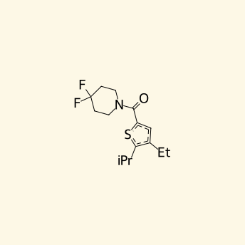 CCc1cc(C(=O)N2CCC(F)(F)CC2)sc1C(C)C